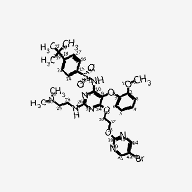 COc1ccccc1Oc1c(NS(=O)(=O)c2ccc(C(C)(C)C)cc2)nc(NCCN(C)C)nc1OCCOc1ncc(Br)cn1